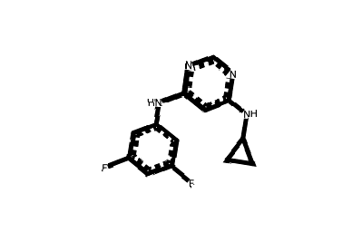 Fc1cc(F)cc(Nc2cc(NC3CC3)ncn2)c1